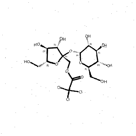 O=C(OC[C@@]1(O[C@H]2O[C@H](CO)[C@@H](O)[C@H](O)[C@H]2O)O[C@H](CO)[C@@H](O)[C@@H]1O)C(Cl)(Cl)Cl